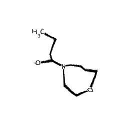 CCC([O])N1CCOCC1